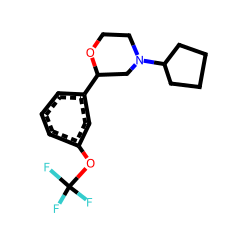 FC(F)(F)Oc1cccc(C2CN(C3CCCC3)CCO2)c1